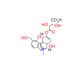 CN1CC[C@]23c4c5ccc(CO)c4O[C@H]2C(OC(=O)[C@H](O)[C@@H](O)C(=O)O)=CC[C@@]3(O)[C@H]1C5